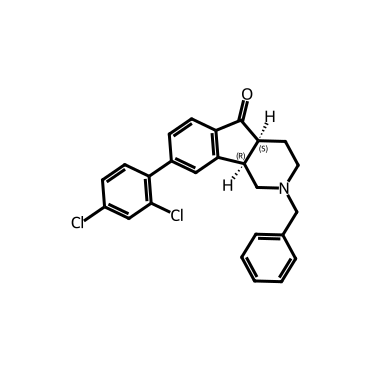 O=C1c2ccc(-c3ccc(Cl)cc3Cl)cc2[C@@H]2CN(Cc3ccccc3)CC[C@H]12